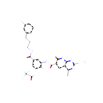 COc1nc(C)c2cc(C(=O)Nc3cc(C(=O)NCCCc4cccc(N)c4)ccc3Cl)c(=O)[nH]c2n1.O=C(O)C(F)(F)F